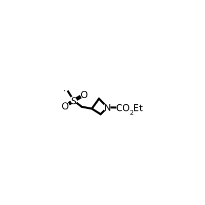 [CH2]S(=O)(=O)CC1CN(C(=O)OCC)C1